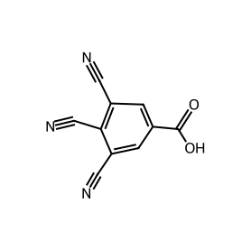 N#Cc1cc(C(=O)O)cc(C#N)c1C#N